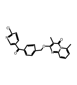 Cc1c(OCc2ccc(C(=O)c3ccc(Cl)nc3)cc2)nc2cccc(C)n2c1=O